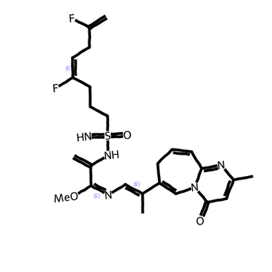 C=C(F)C/C=C(/F)CCCS(=N)(=O)NC(=C)/C(=N\C=C(/C)C1=Cn2c(nc(C)cc2=O)C=CC1)OC